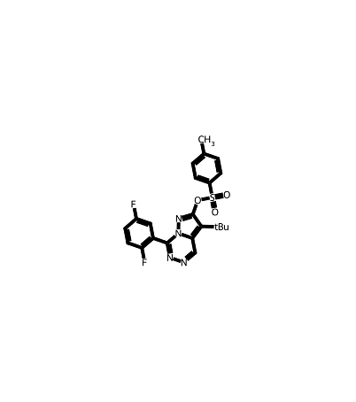 Cc1ccc(S(=O)(=O)Oc2nn3c(-c4cc(F)ccc4F)nncc3c2C(C)(C)C)cc1